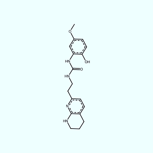 COc1ccc(O)c(NC(=O)NCCc2ccc3c(n2)NCCC3)c1